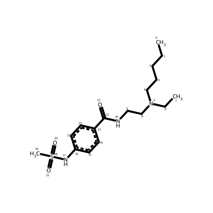 CCCCCN(CC)CCNC(=O)c1ccc(NS(C)(=O)=O)cc1